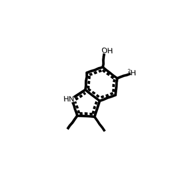 [2H]c1cc2c(C)c(C)[nH]c2cc1O